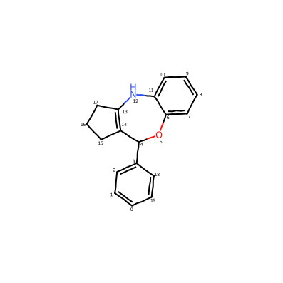 c1ccc(C2Oc3ccccc3NC3=C2CCC3)cc1